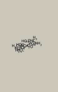 CCC(C)(CCO[C@H]([C@H](O)CO)n1cc(C)c(N)nc1=O)OP(=O)(O)C(O)(CC)CC